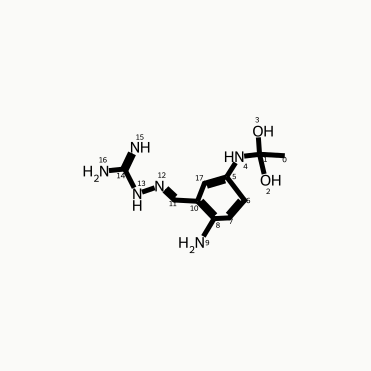 CC(O)(O)Nc1ccc(N)c(/C=N/NC(=N)N)c1